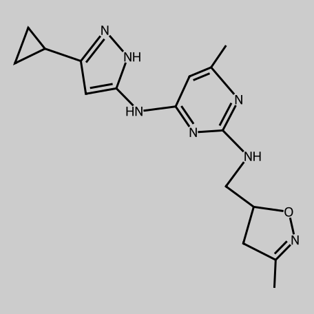 CC1=NOC(CNc2nc(C)cc(Nc3cc(C4CC4)n[nH]3)n2)C1